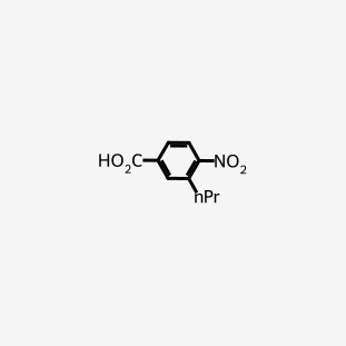 CCCc1cc(C(=O)O)ccc1[N+](=O)[O-]